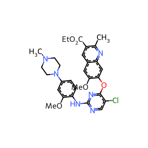 CCOC(=O)c1cc2cc(OC)c(Oc3nc(Nc4ccc(N5CCN(C)CC5)cc4OC)ncc3Cl)cc2nc1C